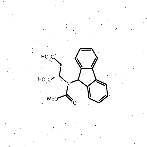 COC(=O)N(C1c2ccccc2-c2ccccc21)[C@@H](CC(=O)O)C(=O)O